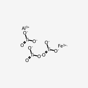 [Al+3].[Fe+3].[O]=[Ti]([O-])[O-].[O]=[Ti]([O-])[O-].[O]=[Ti]([O-])[O-]